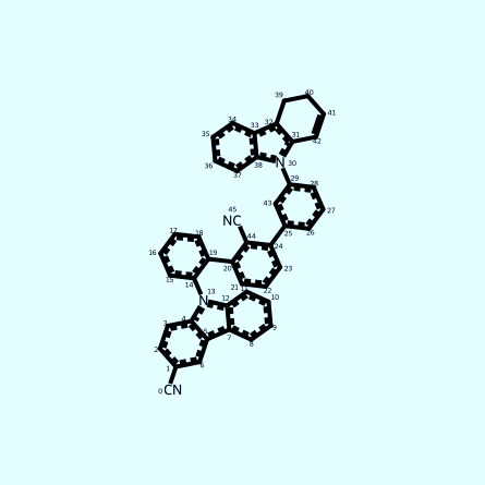 N#Cc1ccc2c(c1)c1ccccc1n2-c1ccccc1-c1cccc(-c2cccc(-n3c4c(c5ccccc53)CCC=C4)c2)c1C#N